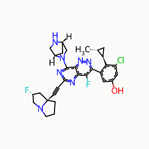 C[C@@H]1C[C@H]1c1c(Cl)cc(O)cc1-c1nnc2c(N3C[C@@H]4C[C@H]3CN4)nc(C#C[C@@]34CCCN3C[C@H](F)C4)nc2c1F